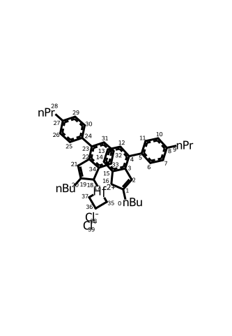 CCCCC1=Cc2c(-c3ccc(CCC)cc3)cccc2[CH]1[Hf+2]1([CH]2C(CCCC)=Cc3c(-c4ccc(CCC)cc4)cccc32)[CH2]C[CH2]1.[Cl-].[Cl-]